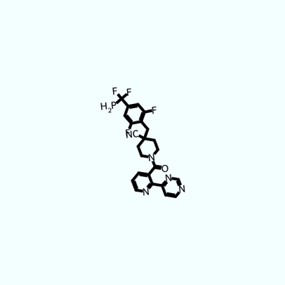 N#CC1(Cc2c(F)cc(C(F)(F)P)cc2F)CCN(C(=O)c2cccnc2-c2ccncn2)CC1